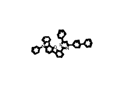 c1ccc(-c2ccc(-c3cc(-c4ccccc4)nc(-c4cccc5c4oc4c5ccc5c4c4ccccc4n5-c4ccccc4)n3)cc2)cc1